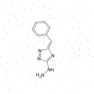 NNC1=NC(=Cc2ccccc2)N=N1